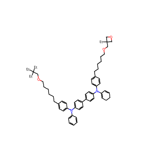 CCC(CC)(CC)COCCCCCCc1ccc(N(c2ccccc2)c2ccc(-c3ccc(N(C4=CCCC=C4)c4ccc(CCCCCCOCC5(CC)COC5)cc4)cc3)cc2)cc1